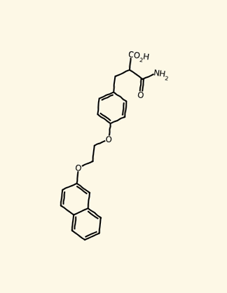 NC(=O)C(Cc1ccc(OCCOc2ccc3ccccc3c2)cc1)C(=O)O